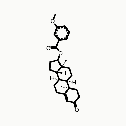 COc1cccc(C(=O)OC2CC[C@H]3[C@@H]4CCC5=CC(=O)CC[C@]5(C)[C@@H]4CC[C@]23C)c1